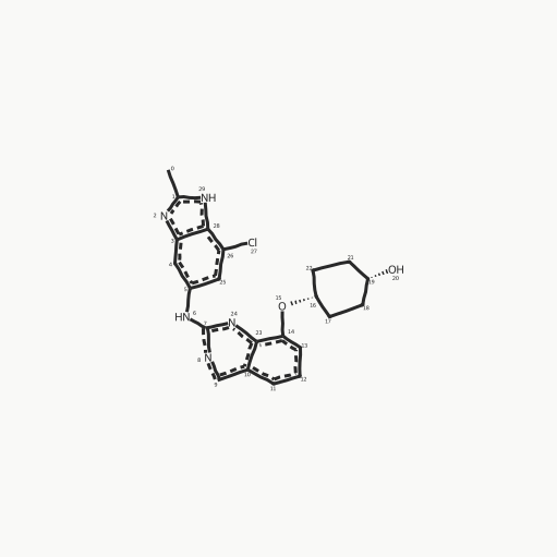 Cc1nc2cc(Nc3ncc4cccc(O[C@H]5CC[C@@H](O)CC5)c4n3)cc(Cl)c2[nH]1